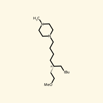 COCC[C@H](CCCCN1CCN(C)CC1)CC(C)(C)C